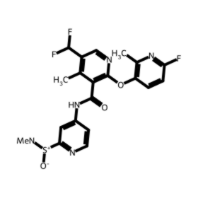 CN[S+]([O-])c1cc(NC(=O)c2c(Oc3ccc(F)nc3C)ncc(C(F)F)c2C)ccn1